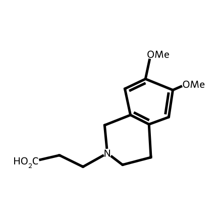 COc1cc2c(cc1OC)CN(CCC(=O)O)CC2